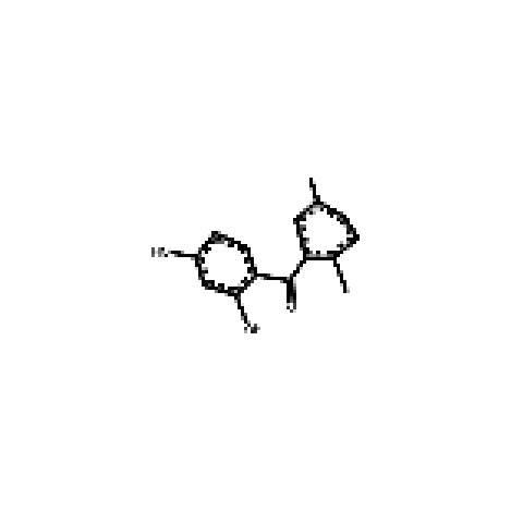 Cc1ccc(C)c(C(=O)c2ccc(O)cc2O)c1